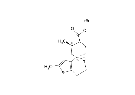 Cc1cc2c(s1)CCO[C@@]21CCN(C(=O)OC(C)(C)C)[C@H](C)C1